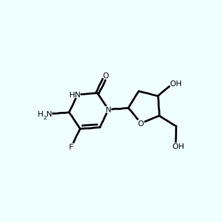 NC1NC(=O)N(C2CC(O)C(CO)O2)C=C1F